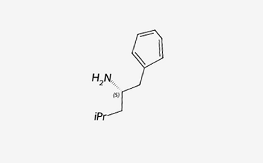 CC(C)C[C@H](N)Cc1ccccc1